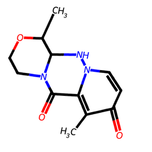 Cc1c2n(ccc1=O)NC1C(C)OCCN1C2=O